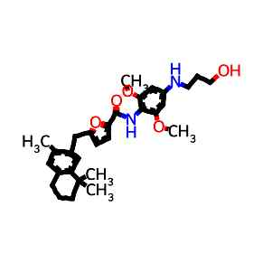 COc1cc(NCCCO)cc(OC)c1NC(=O)c1ccc(Cc2cc3c(cc2C)CCCC3(C)C)o1